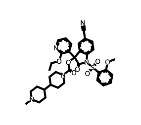 CCOc1ncccc1C1(OC(=O)N2CCC(C3CCN(C)CC3)CC2)C(=O)N(S(=O)(=O)c2ccccc2OC)c2ccc(C#N)cc21